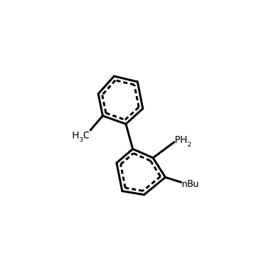 CCCCc1cccc(-c2ccccc2C)c1P